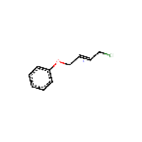 ClC/C=C/COc1ccccc1